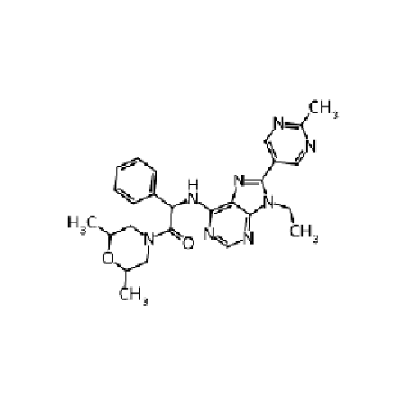 CCn1c(-c2cnc(C)nc2)nc2c(N[C@@H](C(=O)N3CC(C)OC(C)C3)c3ccccc3)ncnc21